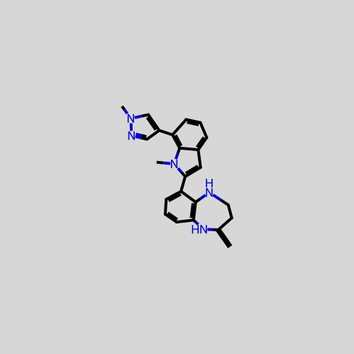 C=C1CCNc2c(cccc2-c2cc3cccc(-c4cnn(C)c4)c3n2C)N1